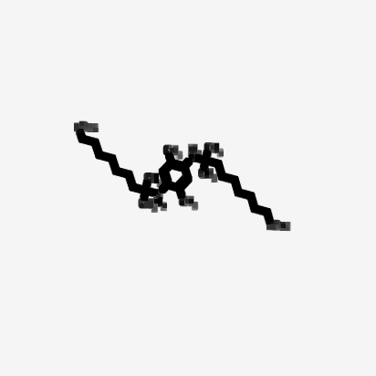 CCCCCCCCCCCCCCCCCC(C)(C)[SiH2]c1cc(C)c([SiH2]C(C)(C)CCCCCCCCCCCCCCCCC)cc1C